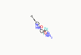 C[C@]1(c2cc(NC(=O)c3ccc(C#CC4CC4)cn3)ccc2F)OC(N)=NCC1(F)F